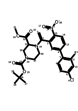 C=C(c1cc(-c2ccc(Cl)cc2F)ccc1[N+](=O)[O-])N1CCN(C(=O)OC(C)(C)C)CC1C(=O)OC